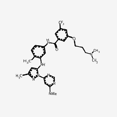 CNc1cc(-n2nc(C)cc2Nc2cc(NC(=O)c3cc(OCCCN(C)C)cc(C(F)(F)F)c3)ccc2C)ncn1